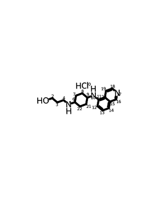 Cl.OCCCNC1CCC(Nc2cccc3cnccc23)CC1